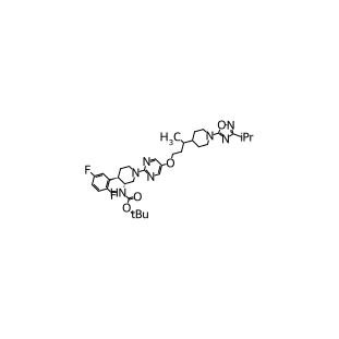 CC(C)c1noc(N2CCC(C(C)CCOc3cnc(N4CC[C@H](c5cc(F)ccc5F)[C@@H](NC(=O)OC(C)(C)C)C4)nc3)CC2)n1